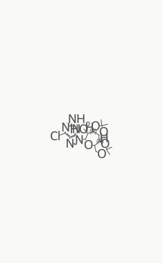 CC1(C)OCC2OC(n3cnc4c(Cl)nc(N)nc43)C(O)[C@H]3OC(C)(C)OC3[C@@H]2O1